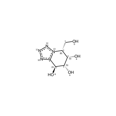 OC[C@@H]1[C@H](O)[C@H](O)[C@@H](O)c2nnnn21